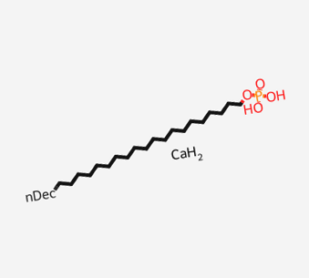 CCCCCCCCCCCCCCCCCCCCCCCCCCCCCCOP(=O)(O)O.[CaH2]